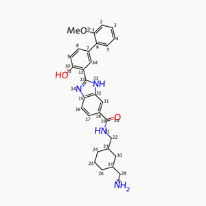 COc1ccccc1-c1ccc(O)c(-c2nc3ccc(C(=O)NCC4CCCC(CN)C4)cc3[nH]2)c1